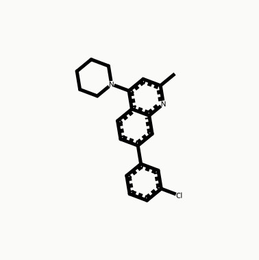 Cc1cc(N2CCCCC2)c2ccc(-c3cccc(Cl)c3)cc2n1